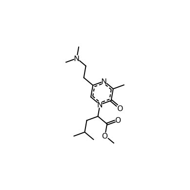 COC(=O)C(CC(C)C)n1cc(CCN(C)C)nc(C)c1=O